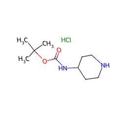 CC(C)(C)OC(=O)NC1CCNCC1.Cl